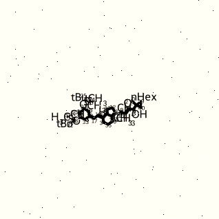 CCCCCCC(=O)C1(C(O)/C=C/C(C)(C)[C@H]2CC[C@H]3/C(=C/C=C4C[C@@H](O[Si](C)(C)C(C)(C)C)C[C@H](O[Si](C)(C)C(C)(C)C)C4)CCC[C@]23C)CC1